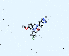 CCOc1ccc2c(c1)N(c1ccc(Cl)cc1)C(=O)N(c1ccc3nn(C)cc3c1)C2